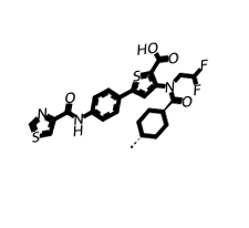 C[C@H]1CC[C@H](C(=O)N(CC(F)F)c2cc(-c3ccc(NC(=O)c4cscn4)cc3)sc2C(=O)O)CC1